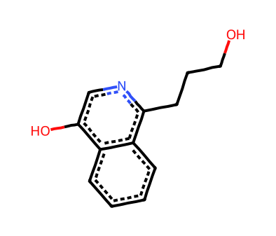 OCCCc1ncc(O)c2ccccc12